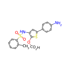 Cc1ccccc1S(=O)(=O)Nc1cc(-c2ccc(N)cc2)sc1OC(=O)O